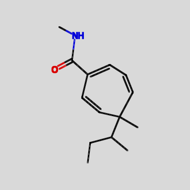 CCC(C)C1(C)C=CC=C(C(=O)NC)C=C1